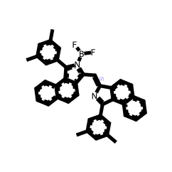 Cc1cc(C)cc(C2=N/C(=C\c3c4ccc5ccccc5c4c(-c4cc(C)cc(C)c4)n3B(F)F)c3ccc4ccccc4c32)c1